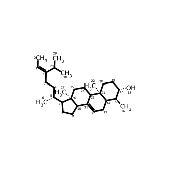 C/C=C(/CC[C@@H](C)C1CCC2C3=CCC4[C@H](C)[C@@H](O)CC[C@]4(C)C3CC[C@@]21C)C(C)C